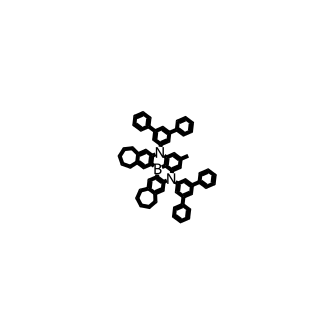 Cc1cc2c3c(c1)N(c1cc(-c4ccccc4)cc(-c4ccccc4)c1)c1cc4c(cc1B3c1cc3c(cc1N2c1cc(-c2ccccc2)cc(-c2ccccc2)c1)CCCCC3)CCCCC4